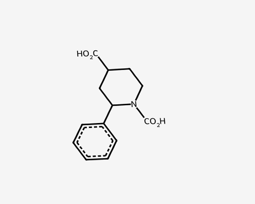 O=C(O)C1CCN(C(=O)O)C(c2ccccc2)C1